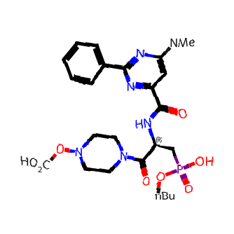 CCCCOP(=O)(O)C[C@H](NC(=O)c1cc(NC)nc(-c2ccccc2)n1)C(=O)N1CCN(OC(=O)O)CC1